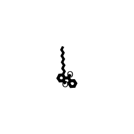 CCCCCCCCCc1cccc2oc3ccccc3c(=O)c12